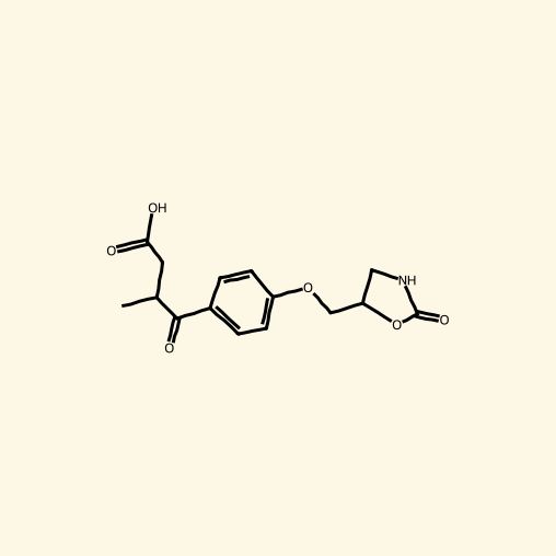 CC(CC(=O)O)C(=O)c1ccc(OCC2CNC(=O)O2)cc1